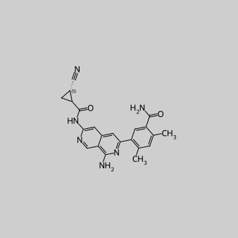 Cc1cc(C)c(-c2cc3cc(NC(=O)C4C[C@@H]4C#N)ncc3c(N)n2)cc1C(N)=O